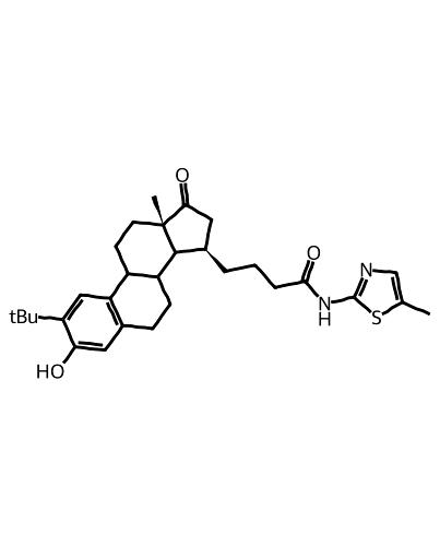 Cc1cnc(NC(=O)CCC[C@@H]2CC(=O)[C@@]3(C)CCC4c5cc(C(C)(C)C)c(O)cc5CCC4C23)s1